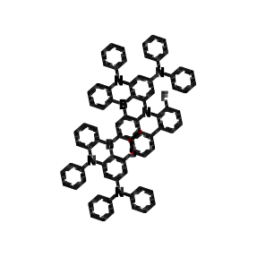 Fc1cccc(-c2ccccc2)c1N1c2cc3c(cc2B2c4ccccc4N(c4ccccc4)c4cc(N(c5ccccc5)c5ccccc5)cc1c42)B1c2ccccc2N(c2ccccc2)c2cc(N(c4ccccc4)c4ccccc4)cc(c21)S3